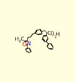 Cc1oc(-c2ccccc2)nc1CCCc1ccc(CC(C(=O)O)c2cccc(-c3ccccc3)c2)cc1